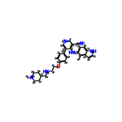 Cc1c(Nc2c(C#N)cncc2-c2ccc(OCCNCC3CCN(C)CC3)cc2)ccc2[nH]ccc12